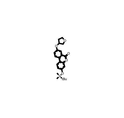 CC(C)(C)[Si](C)(C)Oc1ccc2c(c1)oc(=O)c1cc(OC3CCOC3)ccc12